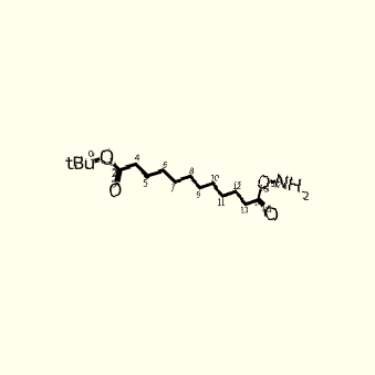 CC(C)(C)OC(=O)CCCCCCCCCCC(=O)ON